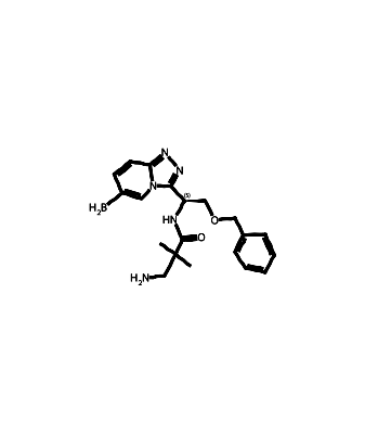 Bc1ccc2nnc([C@@H](COCc3ccccc3)NC(=O)C(C)(C)CN)n2c1